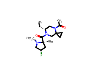 CC(C)C[C@@H]1CN(C(=O)C(F)(F)F)C2(CC2)CN1C(=O)[C@@]1(C(C)(C)C)C[C@@H](F)CN1C(=O)O